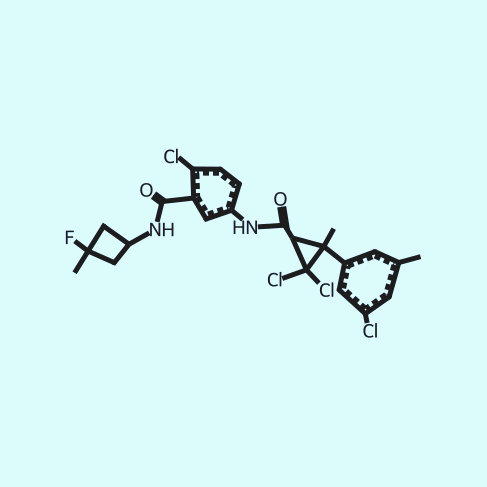 Cc1cc(Cl)cc(C2(C)C(C(=O)Nc3ccc(Cl)c(C(=O)NC4CC(C)(F)C4)c3)C2(Cl)Cl)c1